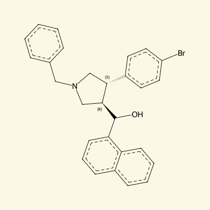 OC(c1cccc2ccccc12)[C@H]1CN(Cc2ccccc2)C[C@@H]1c1ccc(Br)cc1